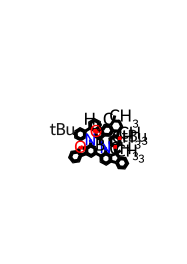 CC(C)(C)c1ccc(N2B3c4c(cc5c(oc6ccccc65)c4N(c4ccc(C(C)(C)C)cc4-c4ccccc4)c4oc5cc6c(cc5c43)C(C)(C)CCC6(C)C)-c3ccc4c(c32)C(C)(C)c2ccccc2-4)cc1